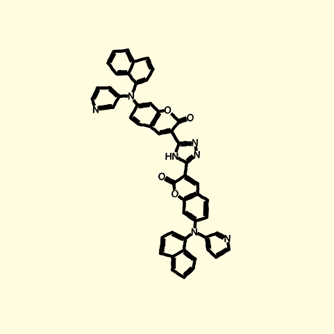 O=c1oc2cc(N(c3cccnc3)c3cccc4ccccc34)ccc2cc1-c1nnc(-c2cc3ccc(N(c4cccnc4)c4cccc5ccccc45)cc3oc2=O)[nH]1